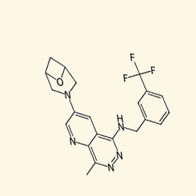 Cc1nnc(NCc2cccc(C(F)(F)F)c2)c2cc(N3CC4CC(C3)O4)cnc12